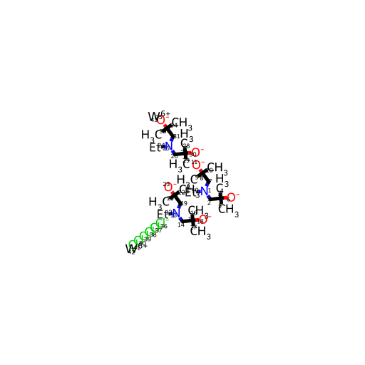 CCN(CC(C)(C)[O-])CC(C)(C)[O-].CCN(CC(C)(C)[O-])CC(C)(C)[O-].CCN(CC(C)(C)[O-])CC(C)(C)[O-].[Cl-].[Cl-].[Cl-].[Cl-].[Cl-].[Cl-].[W+6].[W+6]